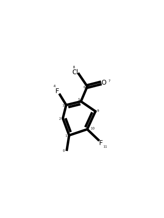 Cc1cc(F)c(C(=O)Cl)cc1F